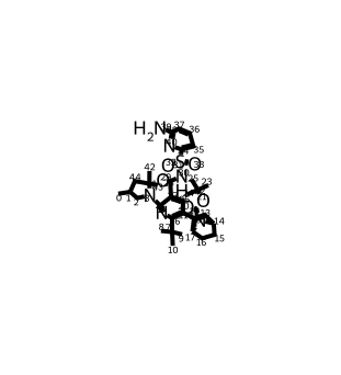 CC1CN(c2nc(C(C)(C)C)c(C3=CC4CCC3N4C(=O)OC(C)(C)C)cc2C(=O)NS(=O)(=O)c2cccc(N)n2)C(C)(C)C1